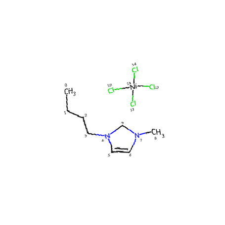 CCCCN1C=CN(C)C1.[Cl][Ni]([Cl])([Cl])[Cl]